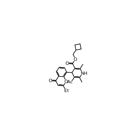 CCc1cc(=O)c2cccc(C3C(C(C)=O)=C(C)NC(C)=C3C(=O)OCC3CCC3)c2o1